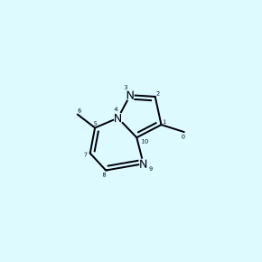 Cc1cnn2c(C)ccnc12